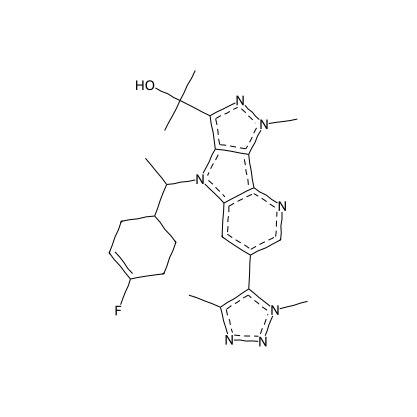 Cc1nnn(C)c1-c1cnc2c3c(c(C(C)(C)O)nn3C)n(C(C)C3CC=C(F)CC3)c2c1